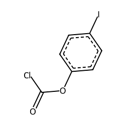 O=C(Cl)Oc1ccc(I)cc1